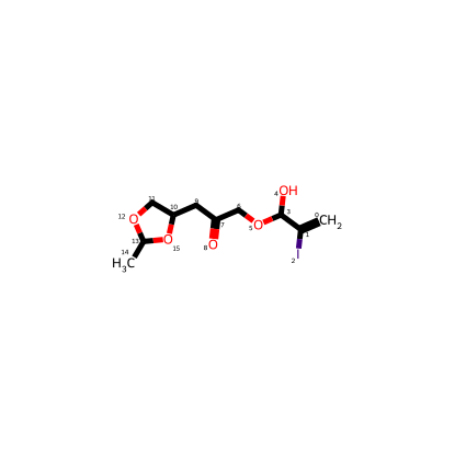 C=C(I)C(O)OCC(=O)CC1COC(C)O1